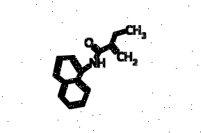 C=C(CC)C(=O)Nc1cccc2ccccc12